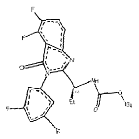 CC[C@H](NC(=O)OC(C)(C)C)c1nc2ccc(F)c(F)c2c(=O)n1-c1cc(F)cc(F)c1